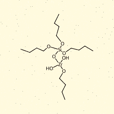 CCCCO[Si](OCCCC)(OCCCC)[O][Zr]([OH])([OH])[O]CCCC